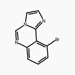 Brc1cccc2ncn3ccnc3c12